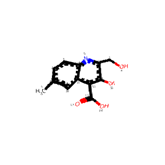 Cc1ccc2nc(CO)c(O)c(C(=O)O)c2c1